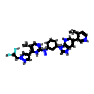 Cc1ccncc1-c1cnc2c(c1)ncn2[C@H]1CCC[C@@H](Nc2ncc(C#N)c(-c3cnn(CC(F)F)c3)n2)C1